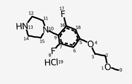 COCCOc1cc(F)c(N2CCNCC2)c(F)c1.Cl